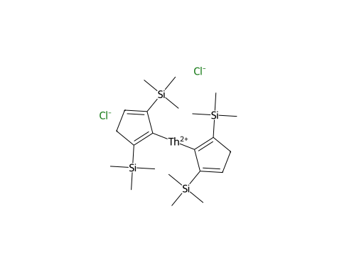 C[Si](C)(C)C1=CCC([Si](C)(C)C)=[C]1[Th+2][C]1=C([Si](C)(C)C)CC=C1[Si](C)(C)C.[Cl-].[Cl-]